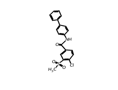 CS(=O)(=O)c1cc(C(=O)Nc2ccc(-c3ccccc3)cc2)ccc1Cl